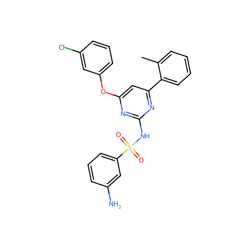 Cc1ccccc1-c1cc(Oc2cccc(Cl)c2)nc(NS(=O)(=O)c2cccc(N)c2)n1